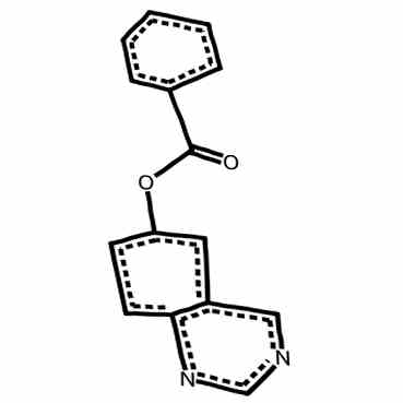 O=C(Oc1ccc2ncncc2c1)c1ccccc1